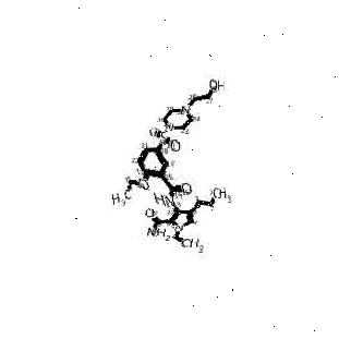 CCCc1cn(CC)c(C(N)=O)c1NC(=O)c1cc(S(=O)(=O)N2CCN(CCO)CC2)ccc1OCC